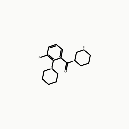 O=C(c1cccc(F)c1N1CCCCC1)[C@@H]1CCCNC1